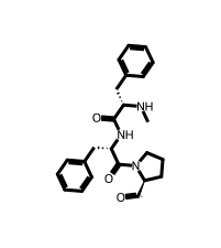 CN[C@@H](Cc1ccccc1)C(=O)N[C@@H](Cc1ccccc1)C(=O)N1CCC[C@H]1[C]=O